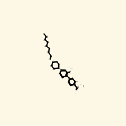 CCCCCCCCC[C@H]1CC[C@H](c2ccc(-c3ccc(C(C)=O)cc3)c(F)c2)CC1